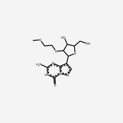 COCCOC1C(c2cnn3c(=O)[nH]c(N)nc23)OC(CO)C1O